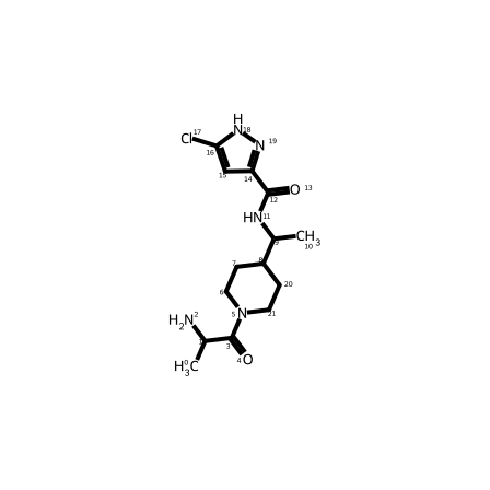 CC(N)C(=O)N1CCC(C(C)NC(=O)c2cc(Cl)[nH]n2)CC1